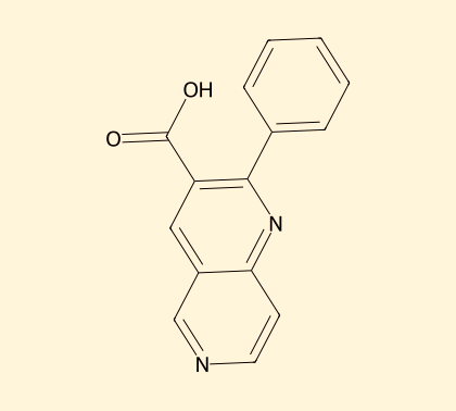 O=C(O)c1cc2cnccc2nc1-c1ccccc1